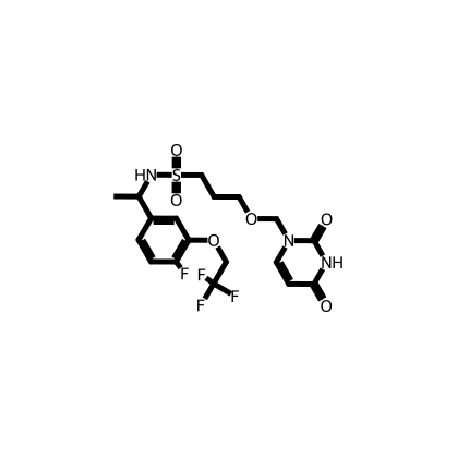 CC(NS(=O)(=O)CCCOCn1ccc(=O)[nH]c1=O)c1ccc(F)c(OCC(F)(F)F)c1